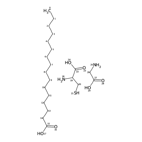 CCCCCCCCCCCCCCCC(=O)O.NC(CS)C(=O)O.NCC(=O)O